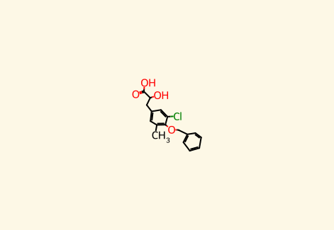 Cc1cc(CC(O)C(=O)O)cc(Cl)c1OCc1ccccc1